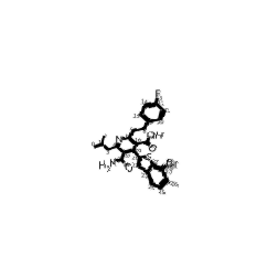 CC(C)Cc1nc(CCc2ccc(F)cc2)c(C(=O)O)c(-c2cc3cccc(Br)c3s2)c1C(N)=O